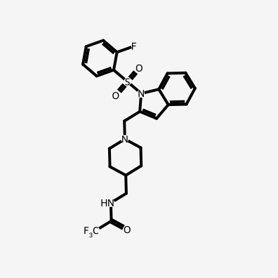 O=C(NCC1CCN(Cc2cc3ccccc3n2S(=O)(=O)c2ccccc2F)CC1)C(F)(F)F